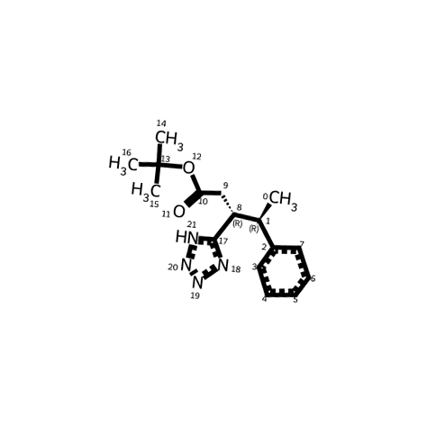 C[C@@H](c1ccccc1)[C@@H](CC(=O)OC(C)(C)C)c1nnn[nH]1